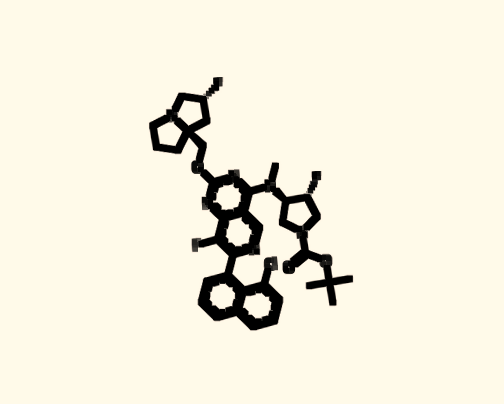 CN(c1nc(OC[C@@]23CCCN2C[C@H](F)C3)nc2c(F)c(-c3cccc4cccc(Cl)c34)ncc12)[C@@H]1CN(C(=O)OC(C)(C)C)C[C@H]1F